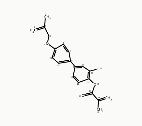 C=C(C)COc1ccc(-c2ccc(OC(=O)C(=C)C)c(F)c2)cc1